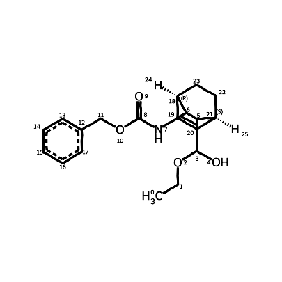 CCOC(O)C1C(NC(=O)OCc2ccccc2)[C@H]2C=C[C@@H]1CC2